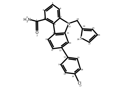 NC(=O)c1cccc2c1c1[c]cc(-c3ccc(Cl)cc3)cc1n2Cc1cccs1